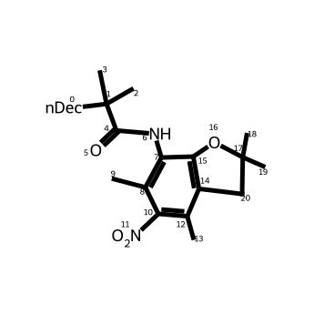 CCCCCCCCCCC(C)(C)C(=O)Nc1c(C)c([N+](=O)[O-])c(C)c2c1OC(C)(C)C2